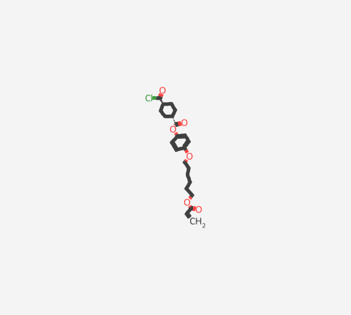 C=CC(=O)OCCCCCCOc1ccc(OC(=O)[C@H]2CC[C@H](C(=O)Cl)CC2)cc1